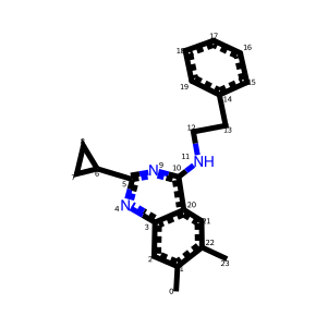 Cc1cc2nc(C3CC3)nc(NCCc3ccccc3)c2cc1C